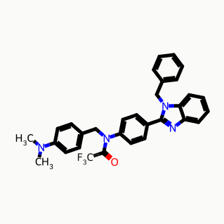 CN(C)c1ccc(CN(C(=O)C(F)(F)F)c2ccc(-c3nc4ccccc4n3Cc3ccccc3)cc2)cc1